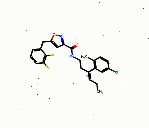 CC/C=C(/CCNC(=O)c1cc(Cc2cccc(F)c2F)on1)c1cc(Cl)ccc1C